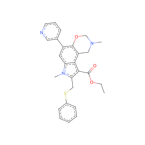 CCOC(=O)c1c(CSc2ccccc2)n(C)c2cc(-c3cccnc3)c3c(c12)CN(C)CO3